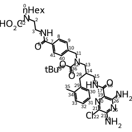 CCCCCCN(CCNC(=O)c1ccc(CN(CC(CNC(=O)c2nc(Cl)c(N)nc2N)Cc2ccccc2C)C(=O)OC(C)(C)C)cc1)C(=O)O